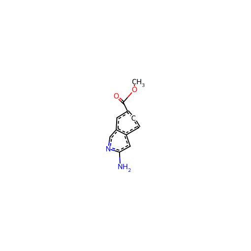 COC(=O)c1ccc2cc(N)ncc2c1